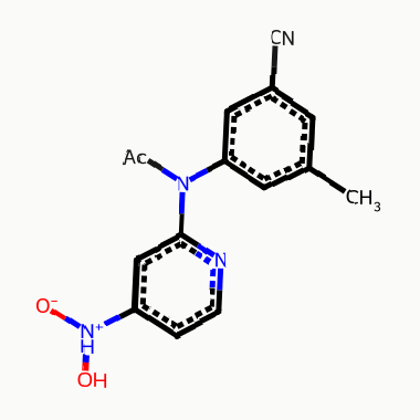 CC(=O)N(c1cc(C)cc(C#N)c1)c1cc([NH+]([O-])O)ccn1